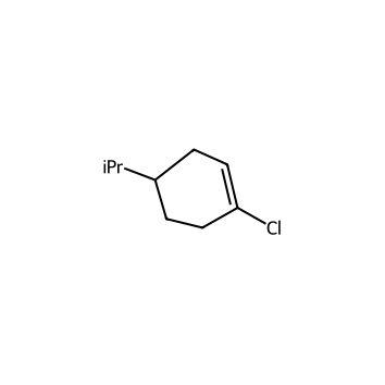 CC(C)C1CC=C(Cl)CC1